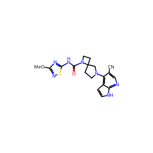 COc1nsc(NC(=O)N2CCC23CCN(c2c(C#N)cnc4[nH]ccc24)C3)n1